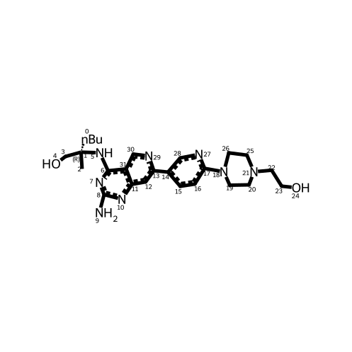 CCCC[C@](C)(CO)Nc1nc(N)nc2cc(-c3ccc(N4CCN(CCO)CC4)nc3)ncc12